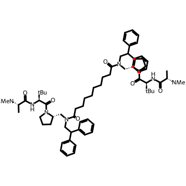 CN[C@@H](C)C(=O)N[C@H](C(=O)N1CCC[C@H]1CN(CC(c1ccccc1)c1ccccc1)C(=O)CCCCCCCCC(=O)N(CC(c1ccccc1)c1ccccc1)C[C@@H]1CCCN1C(=O)[C@@H](NC(=O)[C@H](C)NC)C(C)(C)C)C(C)(C)C